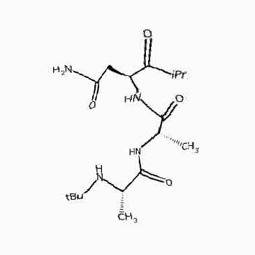 CC(C)C(=O)[C@H](CC(N)=O)NC(=O)[C@H](C)NC(=O)[C@H](C)NC(C)(C)C